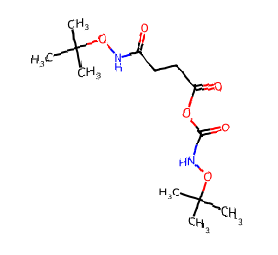 CC(C)(C)ONC(=O)CCC(=O)OC(=O)NOC(C)(C)C